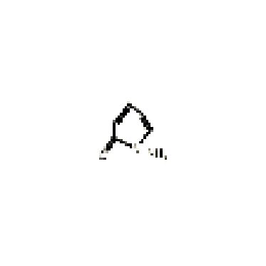 N.O=c1cccc[nH]1